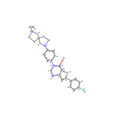 CN1CCC2(CCN(c3ccc(-n4cnc5cc(-c6ccc(Cl)cc6)sc5c4=O)cc3)C2)C1